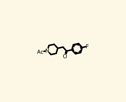 CC(=O)N1CCC(CC(=O)c2ccc(F)cc2)CC1